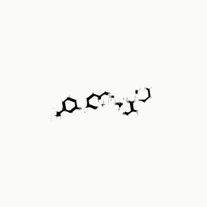 Fc1cnc(N/N=C\c2ccc(Nc3cccc(C(F)(F)F)c3)cn2)nc1N1CCCOC1